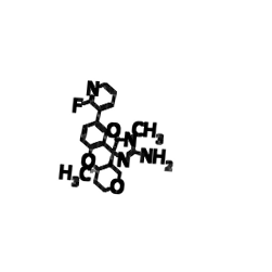 CN1C(=O)[C@]2(N=C1N)c1cc(-c3cccnc3F)ccc1O[C@]1(C)CCOCC12